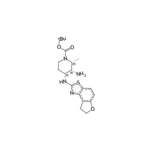 C[C@@H]1[C@H](N)[C@H](Nc2nc3c4c(ccc3s2)OCC4)CCN1C(=O)OC(C)(C)C